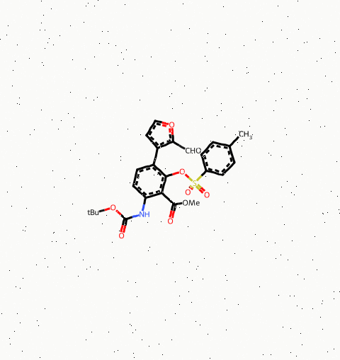 COC(=O)c1c(NC(=O)OC(C)(C)C)ccc(-c2ccoc2C=O)c1OS(=O)(=O)c1ccc(C)cc1